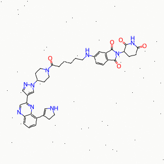 O=C1CCC(N2C(=O)c3ccc(NCCCCCC(=O)N4CCC(n5cc(-c6cnc7cccc(C8=CNCC8)c7n6)cn5)CC4)cc3C2=O)C(=O)N1